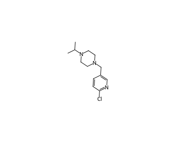 CC(C)N1CCN(Cc2ccc(Cl)nc2)CC1